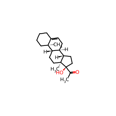 CC(=O)[C@@]1(O)CC[C@H]2[C@@H]3CC=C4CCCC[C@]4(C)[C@H]3CC[C@@]21C